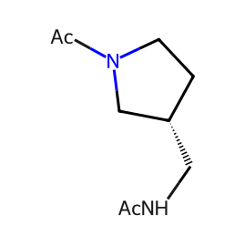 CC(=O)NC[C@H]1CCN(C(C)=O)C1